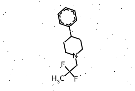 CC(F)(F)CN1CCC(c2ccccc2)CC1